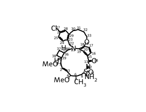 CO[C@H]1/C=C/[C@H](OC)[C@H](C)CS(N)(=O)=NC(=O)c2ccc3c(c2)N(Cc2ccc(Cl)cc2CCCCO3)C[C@@H]2CC[C@H]21